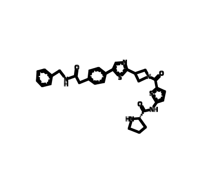 O=C(Cc1ccc(-c2cnc(C3CN(C(=O)c4ccc(NC(=O)[C@@H]5CCCN5)s4)C3)s2)cc1)NCc1ccccc1